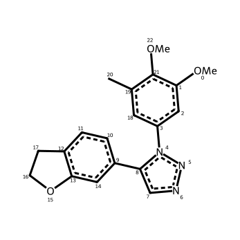 COc1cc(-n2nncc2-c2ccc3c(c2)OCC3)cc(C)c1OC